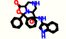 O=C(Nc1c[nH]c2ccccc12)C1CNCC2C(=O)OC(c3ccccc3)(c3ccccc3)N12